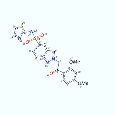 COc1ccc(C(=O)Cn2cc3cc(S(=O)(=O)Nc4nccs4)ccc3n2)c(OC)c1